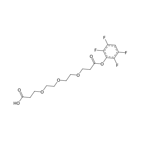 O=C(O)CCOCCOCCOCCC(=O)Oc1c(F)c(F)cc(F)c1F